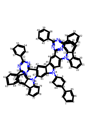 c1ccc(-c2ccc(-n3c4cc(-n5c6ccccc6c6ccccc65)c(-c5nc(-c6ccccc6)nc(-c6ccccc6)n5)cc4c4cc(-c5nc(-c6ccccc6)nc(-c6ccccc6)n5)c(-n5c6ccccc6c6ccccc65)cc43)cc2)cc1